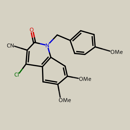 [C-]#[N+]c1c(Cl)c2cc(OC)c(OC)cc2n(Cc2ccc(OC)cc2)c1=O